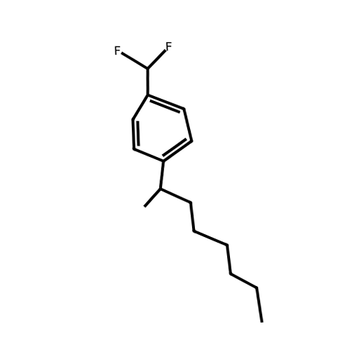 CCCCCCC(C)c1ccc(C(F)F)cc1